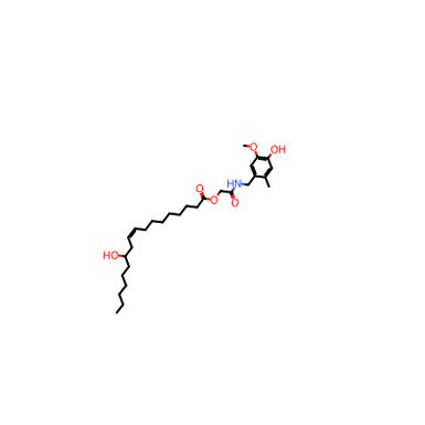 CCCCCCC(O)C/C=C\CCCCCCCC(=O)OCC(=O)NCc1cc(OC)c(O)cc1C